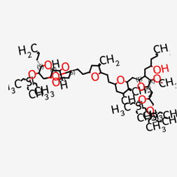 C=CCC(O)CC1[C@H](CC2OC(CCC3OC(CC[C@@]45C[C@H]6OC7C(O4)C(O[Si](CC)(CC)CC)[C@H](CC=C)O[C@H]7C6O5)CC3=C)CC(C)C2=C)O[C@H](CC(CO[Si](CC)(CC)CC)O[Si](CC)(CC)CC)[C@@H]1OC